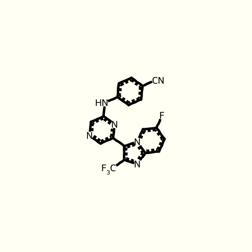 N#Cc1ccc(Nc2cncc(-c3c(C(F)(F)F)nc4ccc(F)cn34)n2)cc1